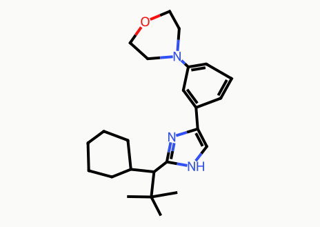 CC(C)(C)C(c1nc(-c2cccc(N3CCOCC3)c2)c[nH]1)C1CCCCC1